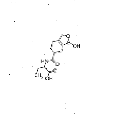 CCC(NC(=O)c1ccc2c(c1)B(O)OC2)C(=O)O